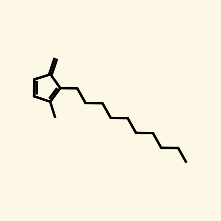 C=C1C=CC(C)=C1CCCCCCCCCC